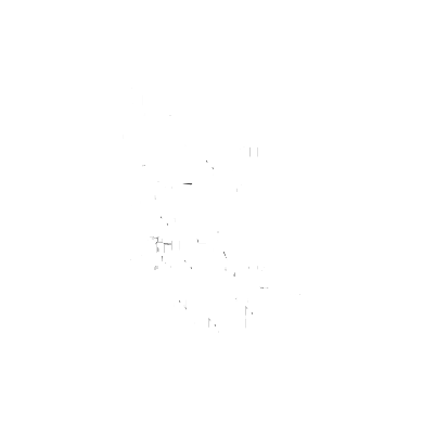 CC(C)NC[C@@H](C(=O)N1CCN(c2ncnc3c2[C@@H](C)OC(=O)N3)[C@@H]2C[C@@H]21)c1ccc(Cl)cc1